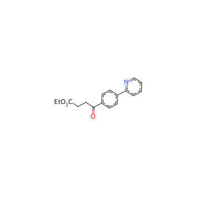 CCOC(=O)CCC(=O)c1ccc(-c2ccccn2)cc1